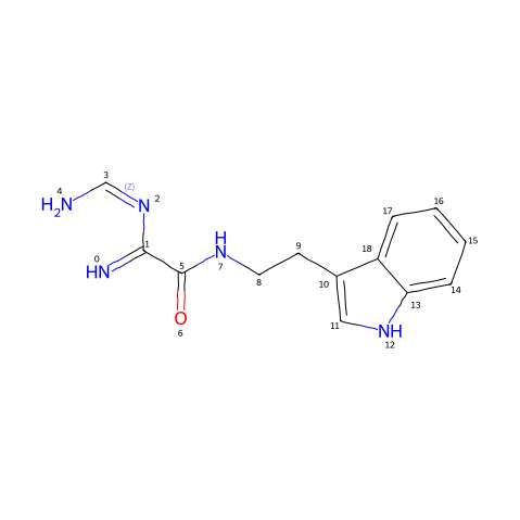 N=C(/N=C\N)C(=O)NCCc1c[nH]c2ccccc12